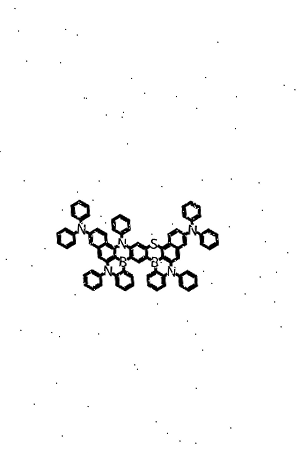 c1ccc(N(c2ccccc2)c2ccc3c4c5c(cc3c2)N(c2ccccc2)c2ccccc2B5c2cc3c(cc2S4)N(c2ccccc2)c2c4c(cc5cc(N(c6ccccc6)c6ccccc6)ccc25)N(c2ccccc2)c2ccccc2B34)cc1